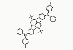 Cc1ccc(N(c2ccccc2)c2ccc3c(c2)-c2cc(C(C)(C)C)c4c5c2C3=C(C(C)(C)C)CC5c2cc(N(c3ccccc3)c3ccc(C)cc3)ccc2-4)cc1